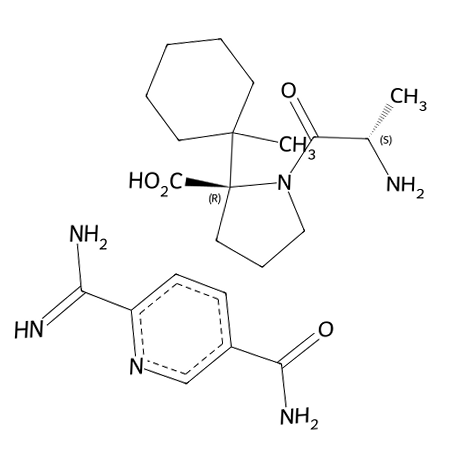 C[C@H](N)C(=O)N1CCC[C@]1(C(=O)O)C1(C)CCCCC1.N=C(N)c1ccc(C(N)=O)cn1